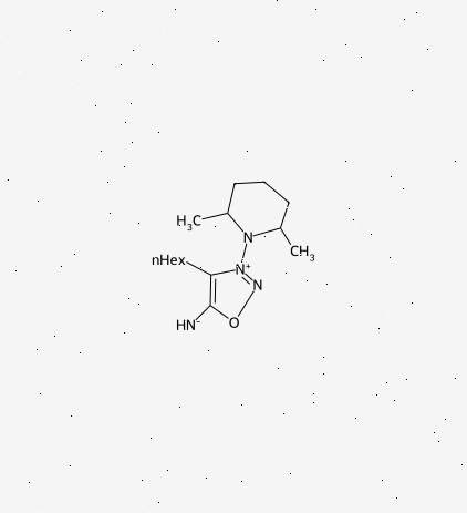 CCCCCCc1c([NH-])on[n+]1N1C(C)CCCC1C